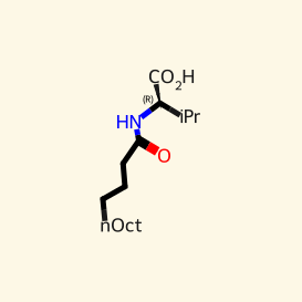 CCCCCCCCCCCC(=O)N[C@@H](C(=O)O)C(C)C